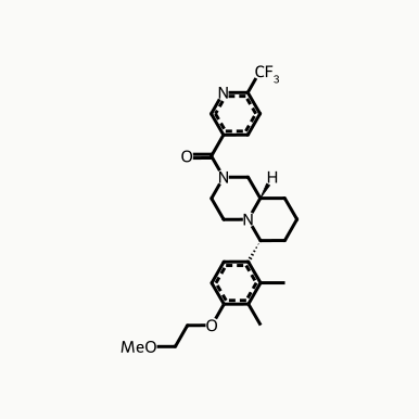 COCCOc1ccc([C@H]2CCC[C@H]3CN(C(=O)c4ccc(C(F)(F)F)nc4)CCN32)c(C)c1C